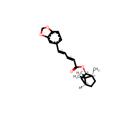 CC1(C)[C@H]2CC[C@]1(C)[C@H](OC(=O)/C=C/C=C/c1ccc3c(c1)OCO3)C2